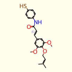 COc1cc(/C=C/C(=O)Nc2ccc(S)cc2)cc(OC)c1OCC=C(C)C